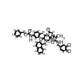 CN(C(=O)NCc1ccc(Cl)c(Cl)c1)N1CC(=O)N2[C@@H](Cc3ccc(NC(=O)OCc4ccccc4)cc3)C(=O)N(Cc3cccc4ccccc34)C[C@@H]21